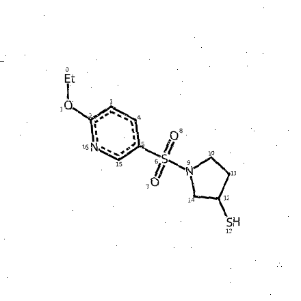 CCOc1ccc(S(=O)(=O)N2CCC(S)C2)cn1